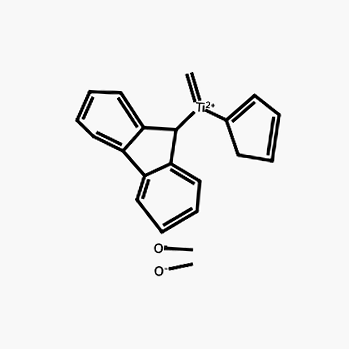 C[O-].C[O-].[CH2]=[Ti+2]([C]1=CC=CC1)[CH]1c2ccccc2-c2ccccc21